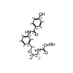 C[C@@H](NC(=O)OC(C)(C)C)[C@@H](C)OCc1cccc(NC(=O)c2ccc(O)cc2)c1